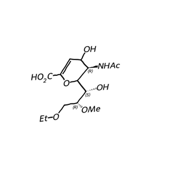 CCOC[C@@H](OC)[C@@H](O)C1OC(C(=O)O)=CC(O)[C@H]1NC(C)=O